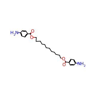 Nc1ccc(C(=O)OCCCCCCCCCCCCOC(=O)c2ccc(N)cc2)cc1